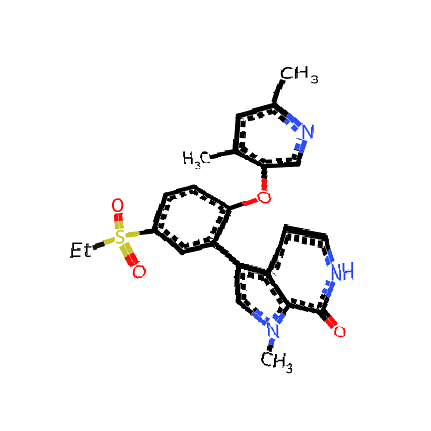 CCS(=O)(=O)c1ccc(Oc2cnc(C)cc2C)c(-c2cn(C)c3c(=O)[nH]ccc23)c1